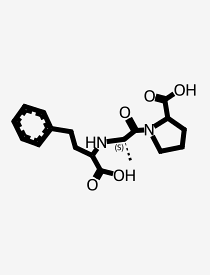 C[C@H](NC(CCc1ccccc1)C(=O)O)C(=O)N1CCCC1C(=O)O